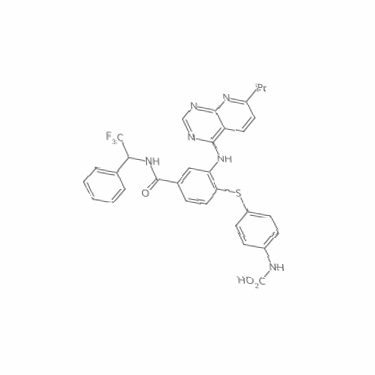 CC(C)c1ccc2c(Nc3cc(C(=O)NC(c4ccccc4)C(F)(F)F)ccc3Sc3ccc(NC(=O)O)cc3)ncnc2n1